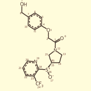 O=C(COc1ccc(CO)cc1)N1CC[C@@H]([S+]([O-])c2ncccc2C(F)(F)F)C1